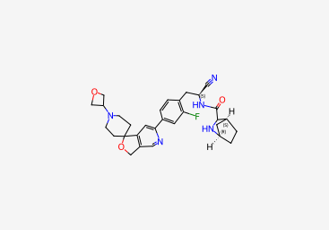 N#C[C@H](Cc1ccc(-c2cc3c(cn2)COC32CCN(C3COC3)CC2)cc1F)NC(=O)C1N[C@@H]2CC[C@H]1C2